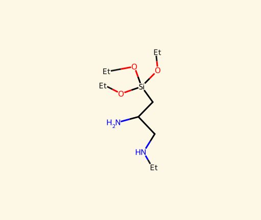 CCNCC(N)C[Si](OCC)(OCC)OCC